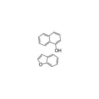 Oc1cccc2ccccc12.c1ccc2occc2c1